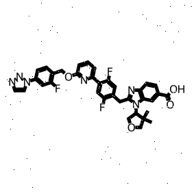 CC1(C)COCC1n1c(Cc2cc(F)c(-c3cccc(OCc4ccc(-n5ccnn5)cc4F)n3)cc2F)nc2ccc(C(=O)O)cc21